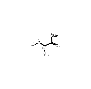 COC(=O)[C@H](C)OC(C)C